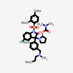 COCCN(C)Cc1ccc(OC)c(C2(N3CCC[C@@H]3OC(=O)N(C)C)C(=O)N(S(=O)(=O)c3ccc(OC)cc3OC)c3ccc(Cl)cc32)c1